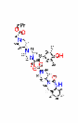 CCCOC(=O)CN1CCC(N2CCN(C(=O)[C@@H](Cc3cc(C)c(O)c(C)c3)OC(=O)N3CCC(N4CCc5ccccc5NC4=O)CC3)CC2)CC1